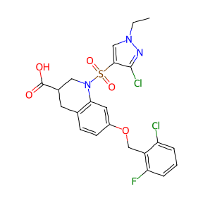 CCn1cc(S(=O)(=O)N2CC(C(=O)O)Cc3ccc(OCc4c(F)cccc4Cl)cc32)c(Cl)n1